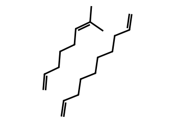 C=CCCCC=C(C)C.C=CCCCCCCC=C